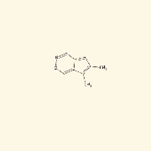 Cc1cc2cnocc-2c1C